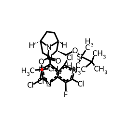 CC(C)(C)OC(=O)N1[C@@H]2CC[C@H]1[C@@H](CO[Si](C)(C)C(C)(C)C)N(c1nc(Cl)nc3c(F)c(Cl)nc(Cl)c13)C2